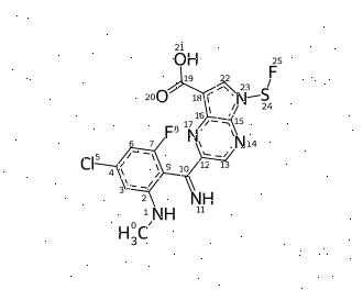 CNc1cc(Cl)cc(F)c1C(=N)c1cnc2c(n1)c(C(=O)O)cn2SF